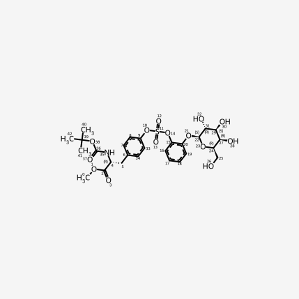 COC(=O)[C@@H](Cc1ccc(OS(=O)(=O)Oc2ccccc2O[C@@H]2O[C@H](CO)[C@H](O)[C@H](O)[C@H]2O)cc1)NC(=O)OC(C)(C)C